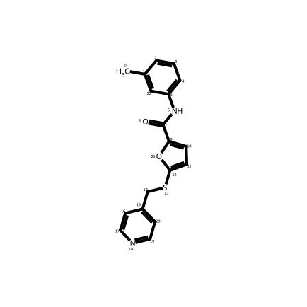 Cc1cccc(NC(=O)c2ccc(SCc3ccncc3)o2)c1